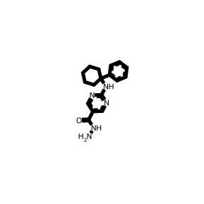 NNC(=O)c1cnc(NC2(c3ccccc3)CCCCC2)nc1